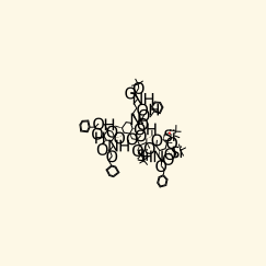 CC[C@@H]1O[C@H](O[C@@H]2[C@@H](CC)OC(O[C@@H]3[C@@H](O)[C@H](N(CC(O)CNC(=O)OC(C)(C)C)C(=O)OCc4ccccc4)C[C@H](C)[C@H]3O[C@H]3O[C@@H]4COC(c5ccccc5)O[C@H]4[C@H](C)[C@H]3NC(=O)OCc3ccccc3)[C@@H]2O[Si](C)(C)C(C)(C)C)[C@H](NC(=O)OCc2ccccc2)[C@@H](O[Si](C)(C)C(C)(C)C)[C@@H]1O[Si](C)(C)C(C)(C)C